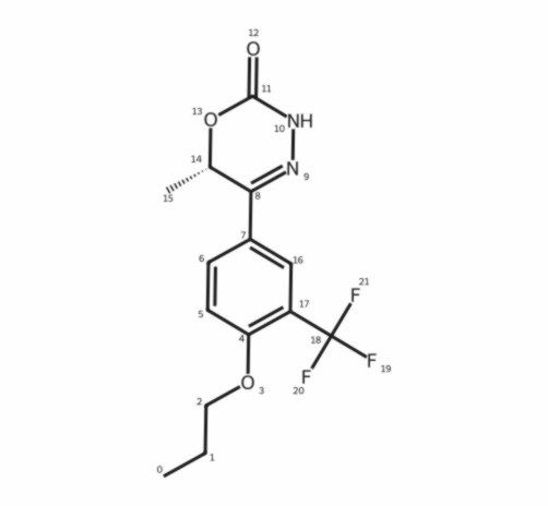 CCCOc1ccc(C2=NNC(=O)O[C@H]2C)cc1C(F)(F)F